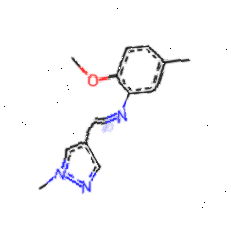 COc1ccc(C)cc1/N=C/c1cnn(C)c1